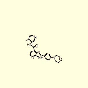 Cc1ccncc1NC(=O)c1ccnc2[nH]c(-c3ccc(N4CCOCC4)cc3)nc12